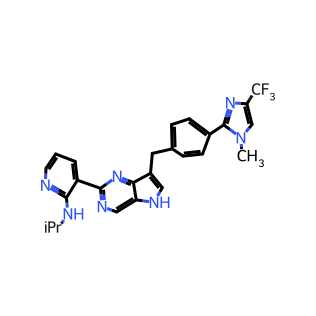 CC(C)Nc1ncccc1-c1ncc2[nH]cc(Cc3ccc(-c4nc(C(F)(F)F)cn4C)cc3)c2n1